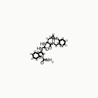 NC(=O)n1cc(NC(=O)N[C@@H](CC2CC2)C(=O)NCc2ncccc2F)c2ccccc21